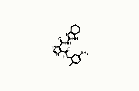 BC1=CC=C(C)C(NC(=O)c2nc[nH]c2C(=O)Nc2nc3c([nH]2)CCCC3)C1